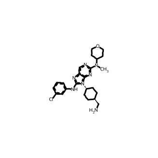 CN(c1ncc2nc(Nc3cccc(Cl)c3)n([C@H]3CC[C@H](CN)CC3)c2n1)C1CCOCC1